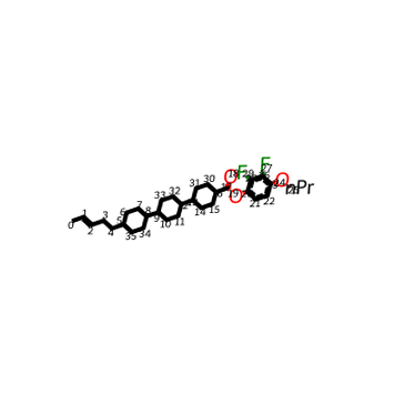 C/C=C/CCC1CCC(C2CCC(C3CCC(C(=O)Oc4ccc(OCCC)c(F)c4F)CC3)CC2)CC1